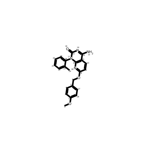 COc1ccc(COc2ccc3c(N)nc(=O)n(-c4ccccc4C)c3n2)cc1